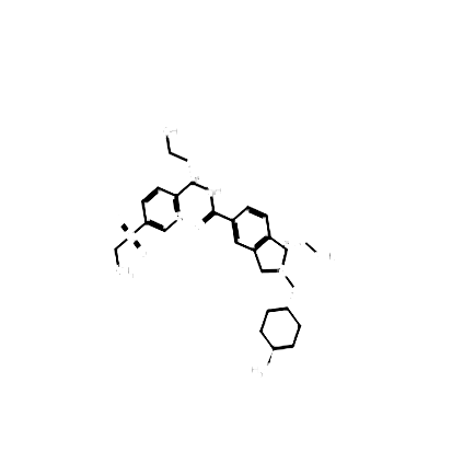 CC[C@H]1c2ccc(C(=O)N[C@@H](CCO)c3ccc(S(=O)(=O)CC)cn3)cc2CN1C[C@H]1CC[C@H](C)CC1